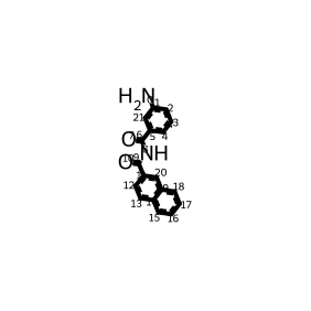 Nc1c[c]cc(C(=O)NC(=O)c2ccc3ccccc3c2)c1